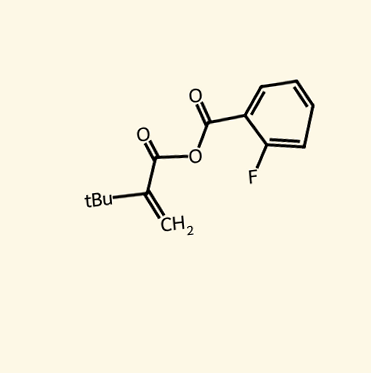 C=C(C(=O)OC(=O)c1ccccc1F)C(C)(C)C